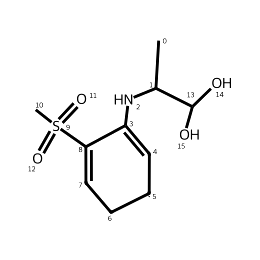 CC(NC1=C[CH]CC=C1S(C)(=O)=O)C(O)O